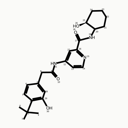 CC(C)(C)c1ccc(CC(=O)Nc2ccnc(C(=O)NC3CCCC[C@@H]3O)c2)cc1O